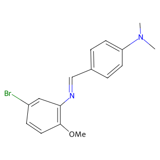 COc1ccc(Br)cc1N=Cc1ccc(N(C)C)cc1